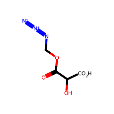 [N-]=[N+]=NCOC(=O)C(O)C(=O)O